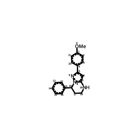 COc1ccc(-c2cc3n(n2)C(c2ccccc2)CCN3)cc1